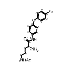 CC(=O)NCCC[C@H](N)C(=O)Nc1ccc(Oc2ccc(F)cc2)cc1